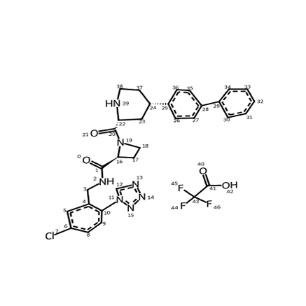 O=C(NCc1cc(Cl)ccc1-n1cnnn1)[C@@H]1CCN1C(=O)[C@H]1C[C@@H](c2ccc(-c3ccccc3)cc2)CCN1.O=C(O)C(F)(F)F